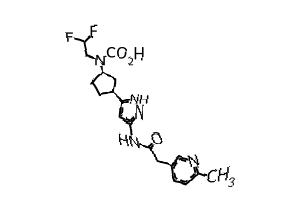 Cc1ccc(CC(=O)Nc2cc([C@H]3CC[C@@H](N(CC(F)F)C(=O)O)C3)[nH]n2)cn1